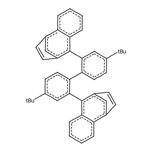 CC(C)(C)c1ccc(-c2ccc(C(C)(C)C)cc2-c2c3cc(c4ccccc24)C=C3)c(-c2c3cc(c4ccccc24)C=C3)c1